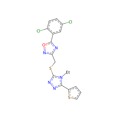 CCn1c(SCc2noc(-c3cc(Cl)ccc3Cl)n2)nnc1-c1cccs1